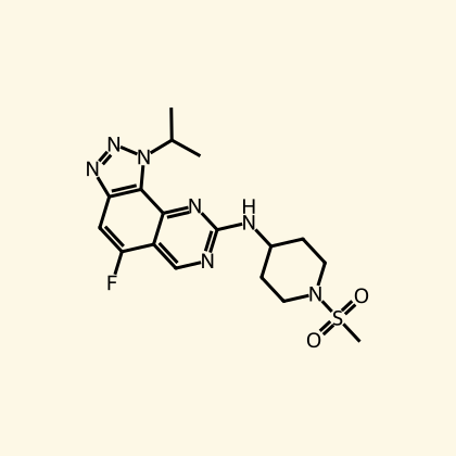 CC(C)n1nnc2cc(F)c3cnc(NC4CCN(S(C)(=O)=O)CC4)nc3c21